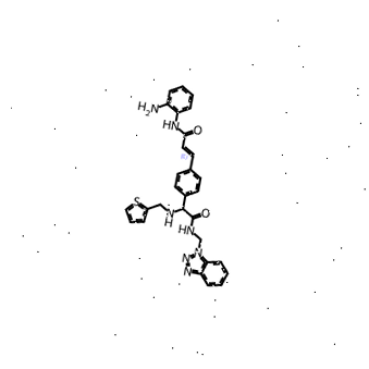 Nc1ccccc1NC(=O)/C=C/c1ccc(C(NCc2cccs2)C(=O)NCn2nnc3ccccc32)cc1